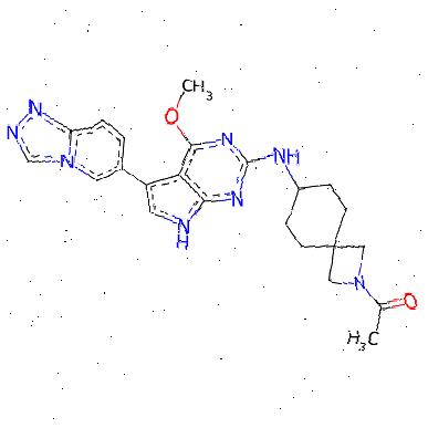 COc1nc(NC2CCC3(CC2)CN(C(C)=O)C3)nc2[nH]cc(-c3ccc4nncn4c3)c12